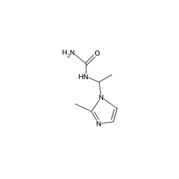 Cc1nccn1C(C)NC(N)=O